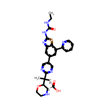 CCNC(=O)Nc1nc2cc(-c3cnc(C(C)(C)C4OCCN[C@H]4C(=O)O)nc3)cc(-c3ccccn3)c2s1